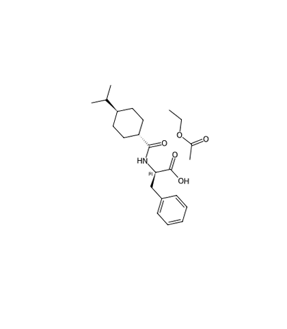 CC(C)[C@H]1CC[C@H](C(=O)N[C@H](Cc2ccccc2)C(=O)O)CC1.CCOC(C)=O